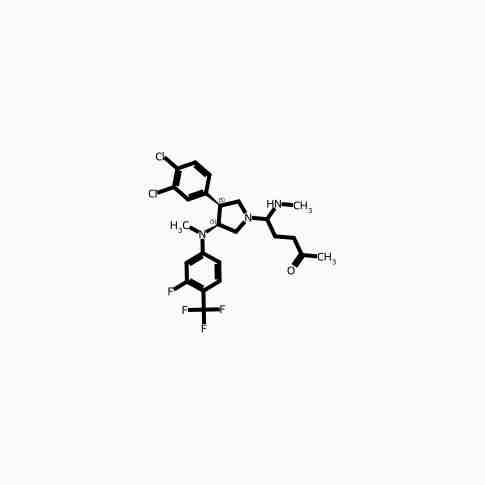 CNC(CCC(C)=O)N1C[C@H](c2ccc(Cl)c(Cl)c2)[C@H](N(C)c2ccc(C(F)(F)F)c(F)c2)C1